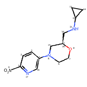 O=[N+]([O-])c1ccc(N2CCO[C@H](CNC3CC3)C2)cn1